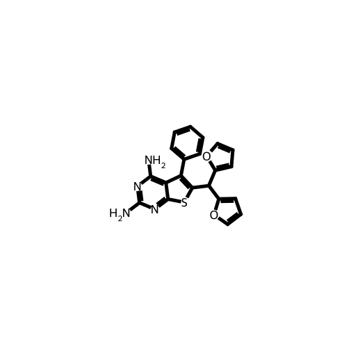 Nc1nc(N)c2c(-c3ccccc3)c(C(c3ccco3)c3ccco3)sc2n1